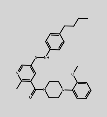 CCCCc1ccc(NSc2cnc(C)c(C(=O)N3CCN(c4ccccc4OC)CC3)c2)cc1